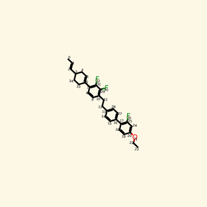 C/C=C/C1CC=C(c2ccc(CCc3ccc(-c4ccc(OCC)cc4F)cc3)c(F)c2F)CC1